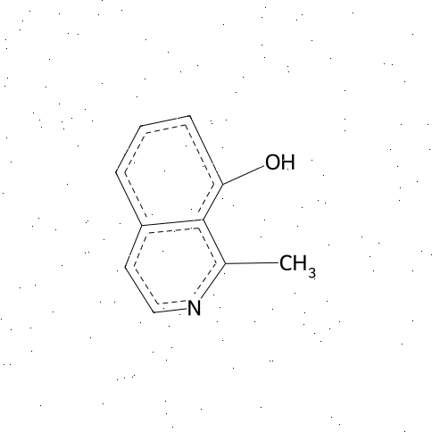 Cc1nccc2cccc(O)c12